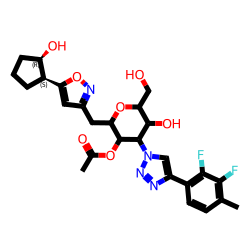 CC(=O)OC1C(Cc2cc([C@H]3CCC[C@H]3O)on2)OC(CO)C(O)C1n1cc(-c2ccc(C)c(F)c2F)nn1